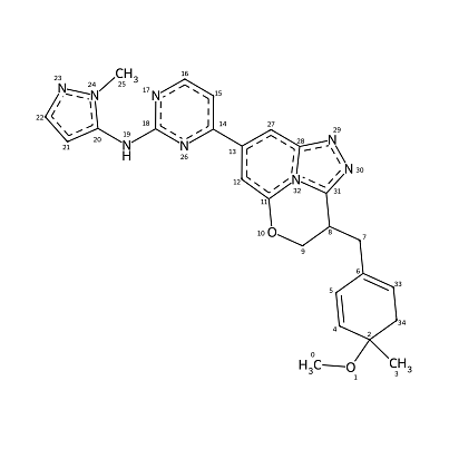 COC1(C)C=CC(CC2COc3cc(-c4ccnc(Nc5ccnn5C)n4)cc4nnc2n34)=CC1